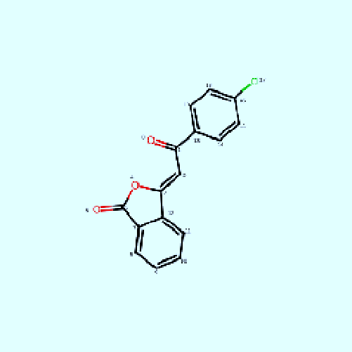 O=C(C=C1OC(=O)c2ccccc21)c1ccc(Cl)cc1